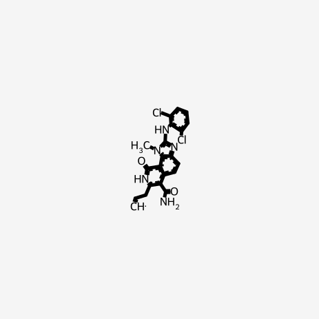 [CH]=CCc1[nH]c(=O)c2c(ccc3nc(Nc4c(Cl)cccc4Cl)n(C)c32)c1C(N)=O